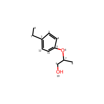 CCc1ccc(OC(C)CO)cc1